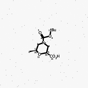 C[C@H]1CN(C(=O)OC(C)(C)C)C[C@@H](C(=O)O)O1